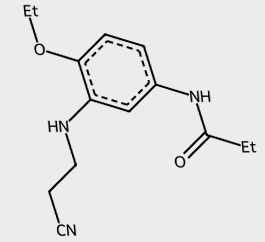 CCOc1ccc(NC(=O)CC)cc1NCCC#N